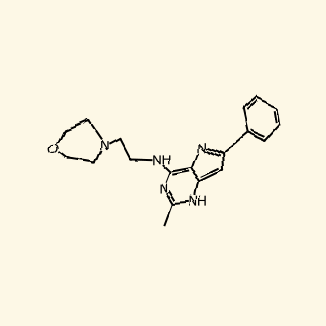 Cc1nc(NCCN2CCOCC2)c2nc(-c3ccccc3)cc-2[nH]1